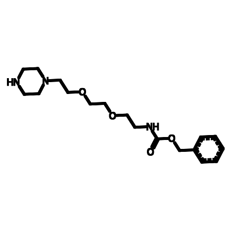 O=C(NCCOCCOCCN1CCNCC1)OCc1ccccc1